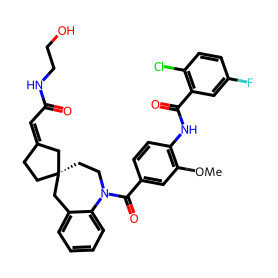 COc1cc(C(=O)N2CC[C@@]3(CCC(=CC(=O)NCCO)C3)Cc3ccccc32)ccc1NC(=O)c1cc(F)ccc1Cl